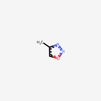 [CH2]c1conn1